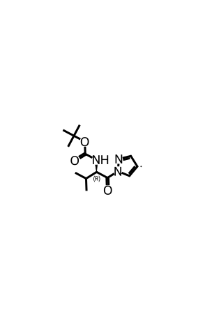 CC(C)[C@@H](NC(=O)OC(C)(C)C)C(=O)n1c[c]cn1